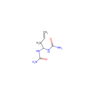 C=C[SiH2]C(NC(N)=O)NC(N)=O